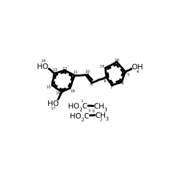 CC(=O)O.CC(=O)O.Oc1ccc(C=Cc2cc(O)cc(O)c2)cc1